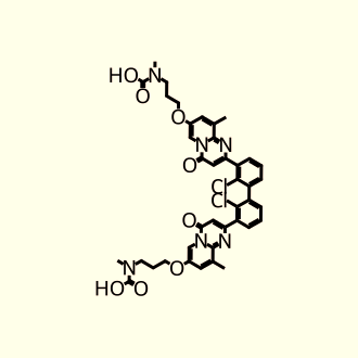 Cc1cc(OCCCN(C)C(=O)O)cn2c(=O)cc(-c3cccc(-c4cccc(-c5cc(=O)n6cc(OCCCN(C)C(=O)O)cc(C)c6n5)c4Cl)c3Cl)nc12